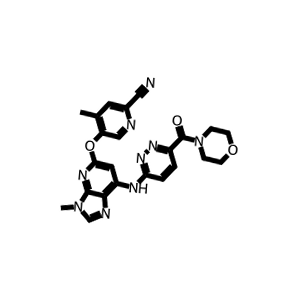 Cc1cc(C#N)ncc1Oc1cc(Nc2ccc(C(=O)N3CCOCC3)nn2)c2ncn(C)c2n1